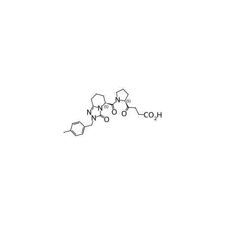 Cc1ccc(Cn2nc3n(c2=O)[C@H](C(=O)N2CCC[C@H]2C(=O)CCC(=O)O)CCC3)cc1